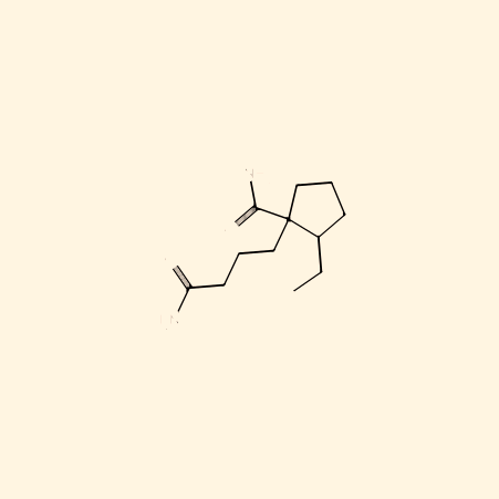 CCC1CCCC1(CCCC(N)=O)C(N)=O